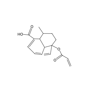 C=CC(=O)OC1(C=C)CCC(C)C2C(C(=O)O)=CC=CC21